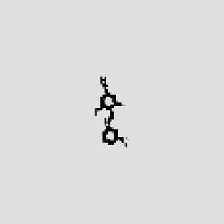 COc1cccc(N=Cc2c(F)cc(C#N)cc2F)c1